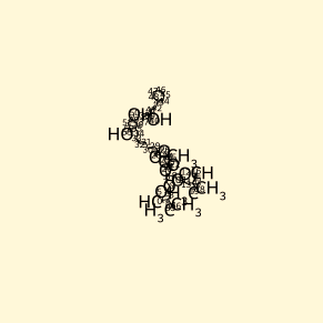 C#CC(CC(=O)OCC(COC(=O)CC(C#C)C(C)C)OC(=O)OC(C)OC(=O)CCC/C=C\C[C@@H]1[C@@H](CC[C@@H](O)CCc2ccccc2)[C@H](O)C[C@@H]1O)C(C)C